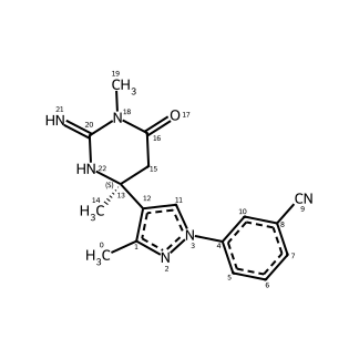 Cc1nn(-c2cccc(C#N)c2)cc1[C@]1(C)CC(=O)N(C)C(=N)N1